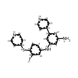 Nc1cc(Nc2ccc(Sc3ccncc3)c(F)c2)cc(-c2ccncc2)n1